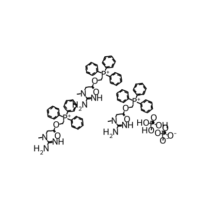 CN(CC(=O)OC[P+](c1ccccc1)(c1ccccc1)c1ccccc1)C(=N)N.CN(CC(=O)OC[P+](c1ccccc1)(c1ccccc1)c1ccccc1)C(=N)N.CN(CC(=O)OC[P+](c1ccccc1)(c1ccccc1)c1ccccc1)C(=N)N.O=P(O)(O)O.O=P([O-])([O-])[O-]